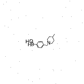 CC1CCN(Cc2ccc(BO)cc2)CC1